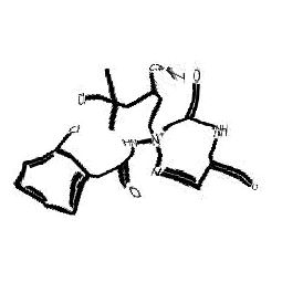 CC(C)(Cl)C(O)[N+]1(NC(=O)c2ccccc2Cl)N=CC(=O)NC1=O